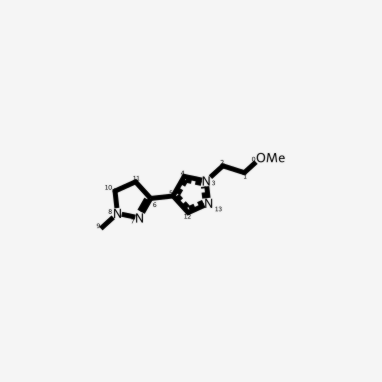 COCCn1cc(C2=NN(C)CC2)cn1